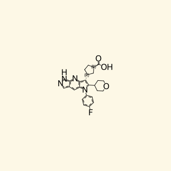 O=C(O)[C@@H]1CC[C@@H](c2c(C3CCOCC3)n(-c3ccc(F)cc3)c3cc4cn[nH]c4nc23)C1